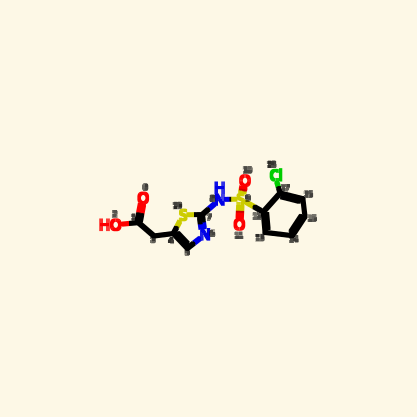 O=C(O)Cc1cnc(NS(=O)(=O)c2ccccc2Cl)s1